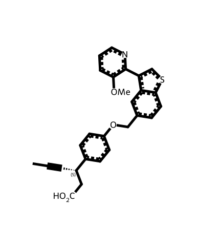 CC#C[C@@H](CC(=O)O)c1ccc(OCc2ccc3scc(-c4ncccc4OC)c3c2)cc1